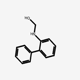 OCNc1ccccc1-c1ccccc1